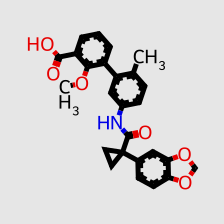 COc1c(C(=O)O)cccc1-c1cc(NC(=O)C2(c3ccc4c(c3)OCO4)CC2)ccc1C